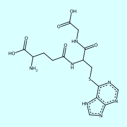 NC(CCC(=O)NC(CSc1ncnc2nc[nH]c12)C(=O)NCC(=O)O)C(=O)O